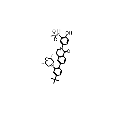 C[C@@H]1CN(c2cc(C(C)(C)C)ccc2-c2ccc3c(c2)CCN(c2ccc(O)c(NS(C)(=O)=O)c2)C3=O)C[C@H](C)O1